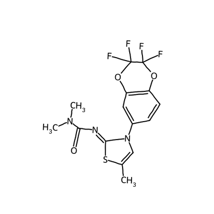 Cc1cn(-c2ccc3c(c2)OC(F)(F)C(F)(F)O3)/c(=N/C(=O)N(C)C)s1